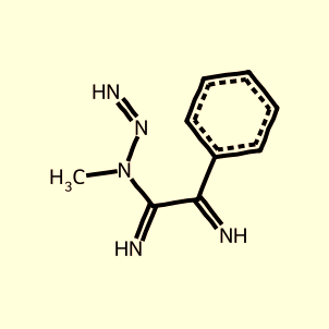 CN(N=N)C(=N)C(=N)c1ccccc1